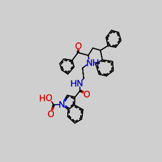 O=C(NCCNC(CC(c1ccccc1)c1ccccc1)C(=O)c1ccccc1)c1cn(C(=O)O)c2ccccc12